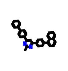 Cc1nc(-c2ccc(-c3ccccc3)cc2)cc(-c2ccc(-c3cccc4ccccc34)cc2)n1